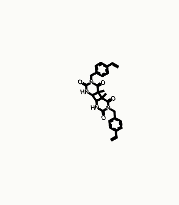 C=Cc1ccc(CN2C(=O)NC3C4NC(=O)N(Cc5ccc(C=C)cc5)C(=O)C4(C)C3(C)C2=O)cc1